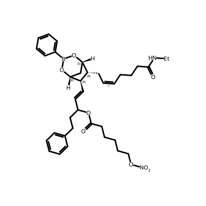 CCNC(=O)CCC/C=C\C[C@@H]1[C@@H](C=CC(CCc2ccccc2)OC(=O)CCCCCO[N+](=O)[O-])[C@H]2C[C@@H]1OB(c1ccccc1)O2